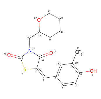 O=C1SC(=Cc2ccc(O)c(C(F)(F)F)c2)C(=O)N1CC1CCCCO1